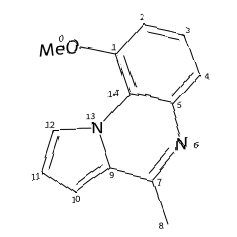 COc1cccc2nc(C)c3cccn3c12